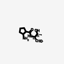 C[C@@H](O)[C@@H]([C]=O)NC(=O)C1CCCC1N